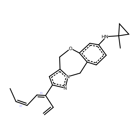 C=C/C(=C\C=C/C)c1cc2n(n1)Cc1ccc(NC3(C)CC3)cc1OC2